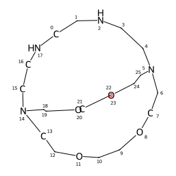 C1CNCCN2CCOCCOCCN(CCN1)CCOCCOCC2